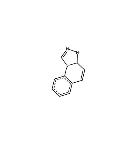 C1=CC2[N]N=CN2c2ccccc21